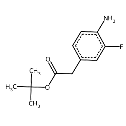 CC(C)(C)OC(=O)Cc1ccc(N)c(F)c1